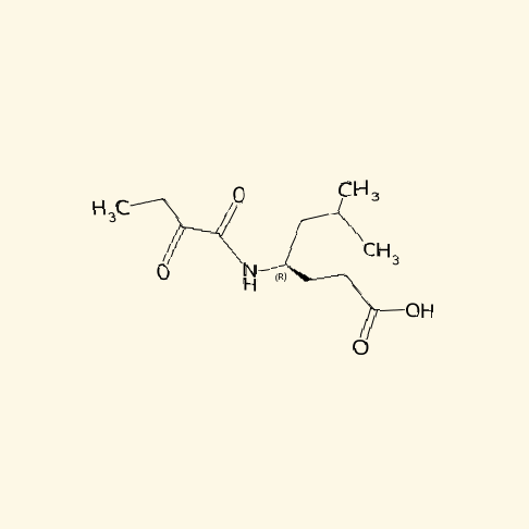 CCC(=O)C(=O)N[C@H](CCC(=O)O)CC(C)C